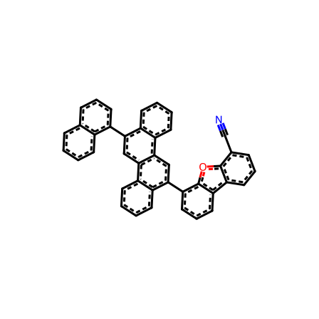 N#Cc1cccc2c1oc1c(-c3cc4c5ccccc5c(-c5cccc6ccccc56)cc4c4ccccc34)cccc12